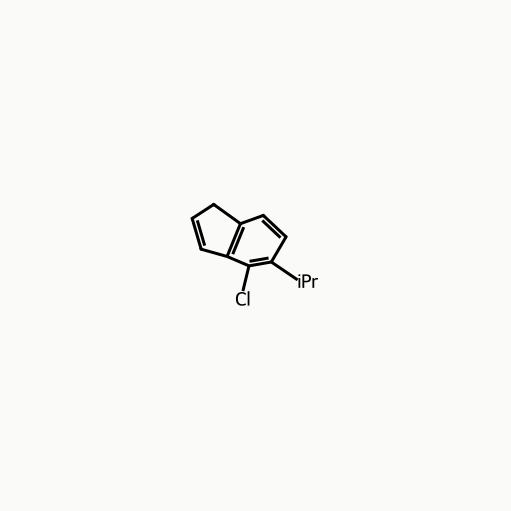 CC(C)c1ccc2c(c1Cl)C=CC2